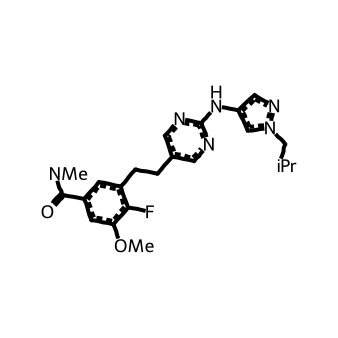 CNC(=O)c1cc(CCc2cnc(Nc3cnn(CC(C)C)c3)nc2)c(F)c(OC)c1